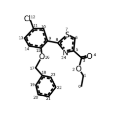 CCOC(=O)c1csc(-c2cc(Cl)ccc2OCc2ccccc2)n1